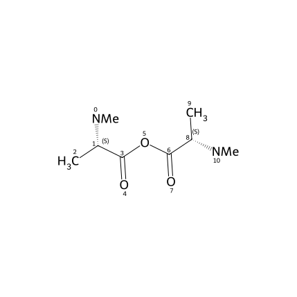 CN[C@@H](C)C(=O)OC(=O)[C@H](C)NC